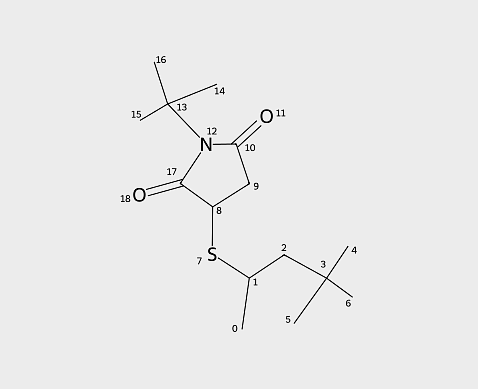 CC(CC(C)(C)C)SC1CC(=O)N(C(C)(C)C)C1=O